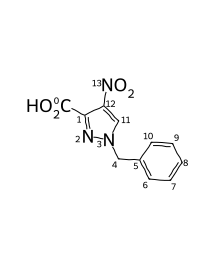 O=C(O)c1nn(Cc2ccccc2)cc1[N+](=O)[O-]